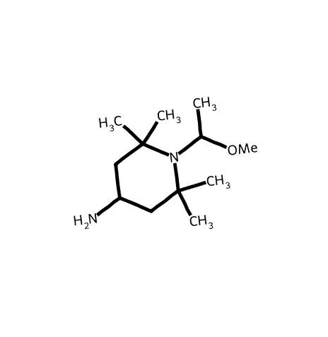 COC(C)N1C(C)(C)CC(N)CC1(C)C